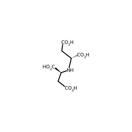 O=C(O)C[C@H](N[C@H](CC(=O)O)C(=O)O)C(=O)O